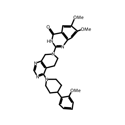 COc1cc2nc(N3CCc4c(ncnc4N4CCC(c5ccccc5OC)CC4)C3)[nH]c(=O)c2cc1OC